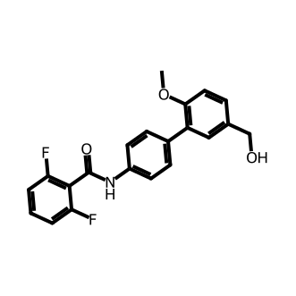 COc1ccc(CO)cc1-c1ccc(NC(=O)c2c(F)cccc2F)cc1